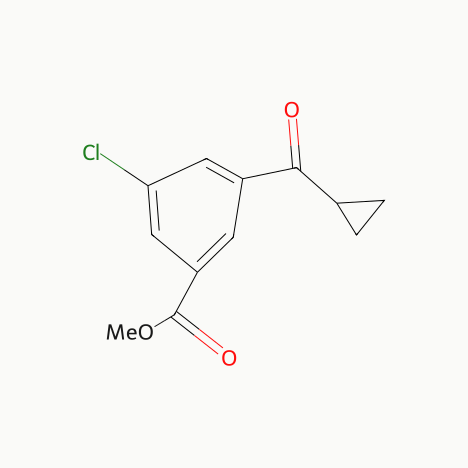 COC(=O)c1cc(Cl)cc(C(=O)C2CC2)c1